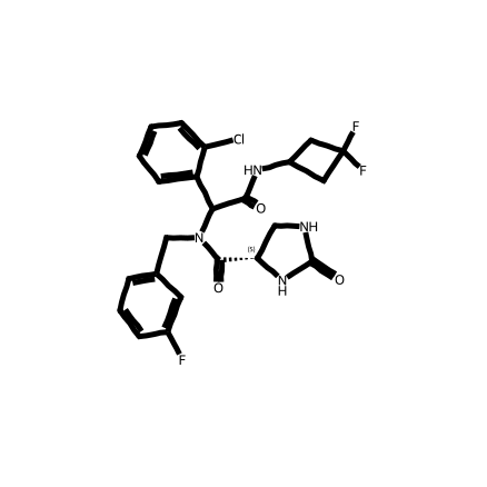 O=C1NC[C@@H](C(=O)N(Cc2cccc(F)c2)C(C(=O)NC2CC(F)(F)C2)c2ccccc2Cl)N1